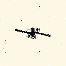 CCCCCCCCCCCCOc1cc(B(O)O)c(OCCCCCCCCCCCC)cc1B(O)O